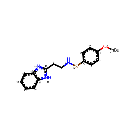 CCCCOc1ccc(SNCCc2nc3ccccc3[nH]2)cc1